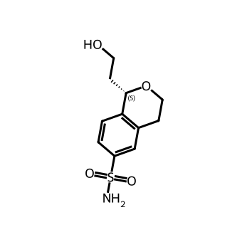 NS(=O)(=O)c1ccc2c(c1)CCO[C@H]2CCO